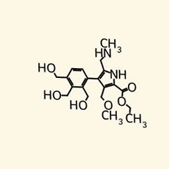 CCOC(=O)c1[nH]c(CNC)c(-c2ccc(CO)c(CO)c2CO)c1COC